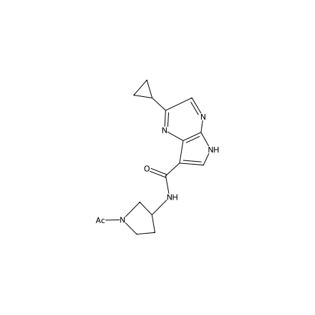 CC(=O)N1CCC(NC(=O)c2c[nH]c3ncc(C4CC4)nc23)C1